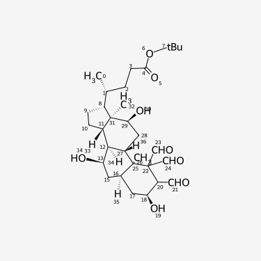 C[C@H](CCC(=O)OC(C)(C)C)[C@H]1CC[C@H]2[C@@H]3[C@H](O)C[C@@H]4C[C@H](O)C(C=O)C(C=O)(C=O)[C@]4(C)[C@H]3C[C@H](O)[C@]12C